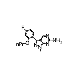 CCCOc1cc(F)ccc1-c1nn(C)c2nc(N)ncc12